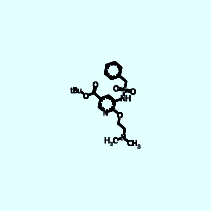 CN(C)CCOc1ncc(C(=O)OC(C)(C)C)cc1NS(=O)(=O)Cc1ccccc1